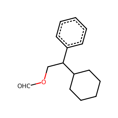 O=COCC(c1ccccc1)C1CCCCC1